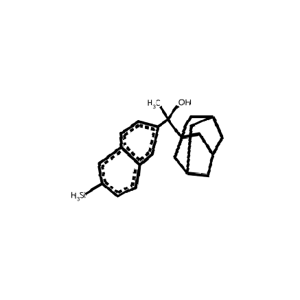 CC(O)(c1ccc2cc([SiH3])ccc2c1)C12CC3CC(CC(C3)C1)C2